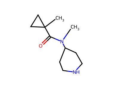 CN(C(=O)C1(C)CC1)C1CCNCC1